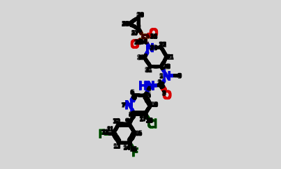 CN(C(=O)Nc1cnc(-c2cc(F)cc(F)c2)c(Cl)c1)C1CCN(S(=O)(=O)C2CC2)CC1